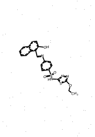 CCOc1nnc(NS(=O)(=O)c2ccc(/N=C/c3c(O)ccc4ccccc34)cc2)s1